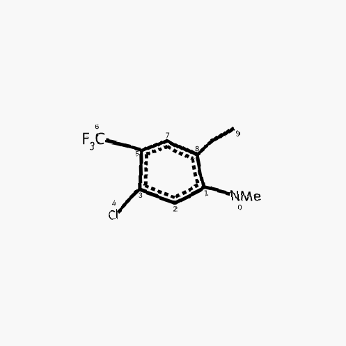 CNc1cc(Cl)c(C(F)(F)F)cc1C